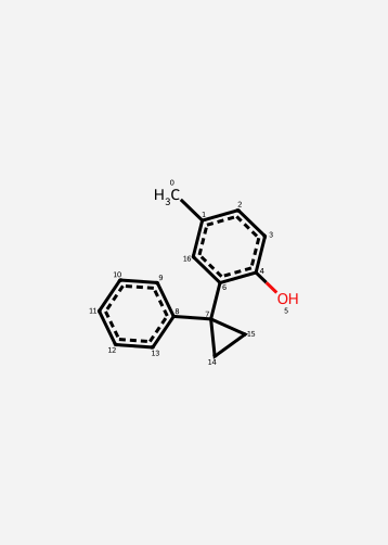 Cc1ccc(O)c(C2(c3ccccc3)CC2)c1